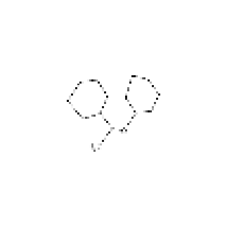 CC(OC1CCCCC1)C1CCCCC1